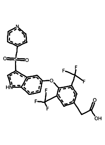 O=C(O)Cc1cc(C(F)(F)F)c(Oc2ccc3[nH]cc(S(=O)(=O)c4ccncc4)c3c2)c(C(F)(F)F)c1